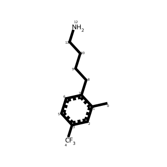 Cc1cc(C(F)(F)F)ccc1CCCCN